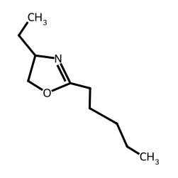 CCCCCC1=NC(CC)CO1